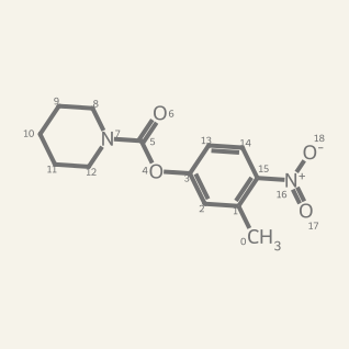 Cc1cc(OC(=O)N2CCCCC2)ccc1[N+](=O)[O-]